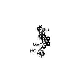 COc1nc(-c2cccc(-c3cccc(-c4ccc5c(n4)N(C)CCC5N(C[C@@H]4CCC(=O)N4)C(=O)OC(C)(C)C)c3Cl)c2Cl)ccc1CN(C[C@@H]1CCC(=O)N1)C(=O)O